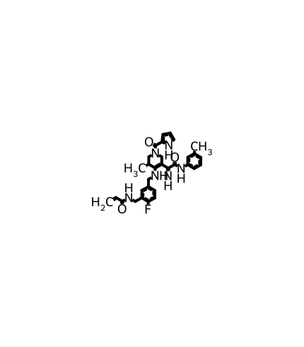 C=CC(=O)NCc1cc(CNC2=C(C(=N)C(=O)Nc3cccc(C)c3)CN(C(=O)c3ccc[nH]3)CC2C)ccc1F